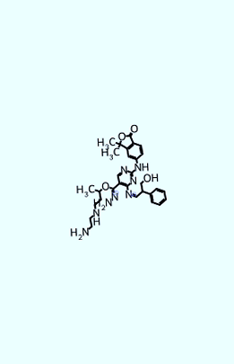 CC(CCNCCN)O/C(=N\N)c1cnc(Nc2ccc3c(c2)C(C)(C)OC3=O)nc1/N=C\C(CO)c1ccccc1